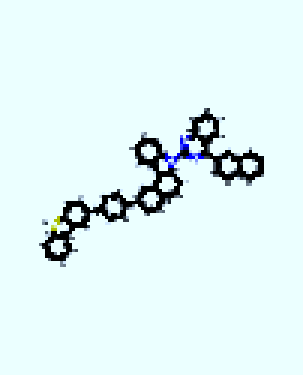 c1ccc2cc(-c3nc(-n4c5ccccc5c5c6cc(-c7ccc(-c8ccc9sc%10ccccc%10c9c8)cc7)ccc6ccc54)nc4ccccc34)ccc2c1